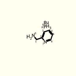 NCc1ccccn1.P.[Ru]